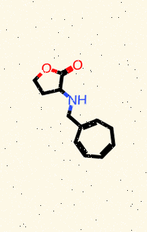 O=C1OCCC1NCC1=CCC=CC=C1